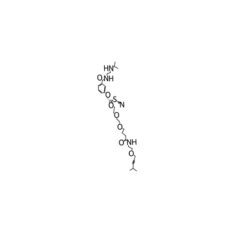 CC(C)C#CCOCCNC(=O)CCCOCCOCCO[C@H](COc1cccc(C(=O)NCCNC(C)C)c1)SC#N